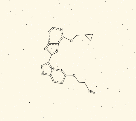 NCCOc1ccc2ncc(-c3cc4c(OCC5CC5)nccc4o3)n2n1